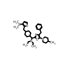 CCN(CC)C(c1nc(Cc2ccccc2)c(N2CCC(C)CC2)o1)C1CCC(Cc2sccc2N(C)C)CC1